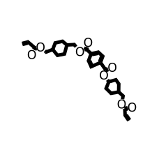 C=CC(=O)OCC1CCC(COC(=O)c2ccc(C(=O)OC3CCC(COC(=O)C=C)CC3)cc2)CC1